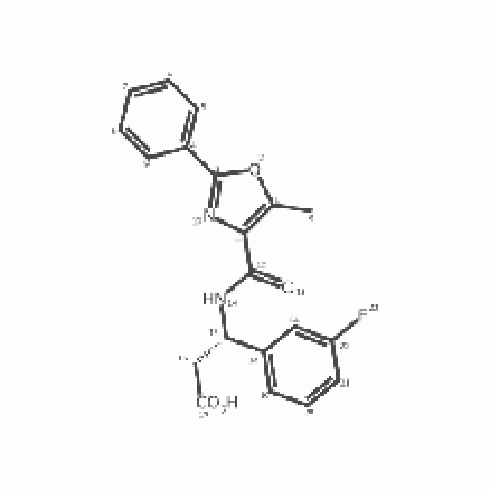 Cc1oc(-c2ccccc2)nc1C(=O)N[C@@H](CC(=O)O)c1cccc(F)c1